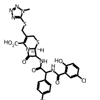 Cn1nnnc1SCC1=C(C(=O)O)N2C(=O)C(NC(=O)C(NC(=O)c3cc(Cl)ccc3O)c3ccc(O)cc3)[C@@H]2SC1